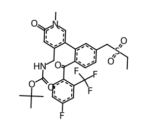 CCS(=O)(=O)Cc1ccc(C(=O)c2ccc(F)cc2C(F)(F)F)c(-c2cn(C)c(=O)cc2CNC(=O)OC(C)(C)C)c1